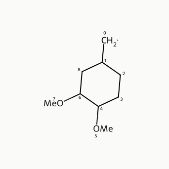 [CH2]C1CCC(OC)C(OC)C1